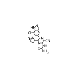 Cn1ccc(-c2nc(NC(N)=O)c(C#N)nc2-c2cc(Cl)c3[nH]ncc3c2)n1